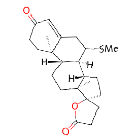 CSC1CC2=CC(=O)CC[C@]2(C)[C@H]2CC[C@@]3(C)[C@@H](CC[C@@]34CCC(=O)O4)[C@H]12